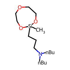 CCCCN(CCCC)CCC[Si]1(C)OCCOCCO1